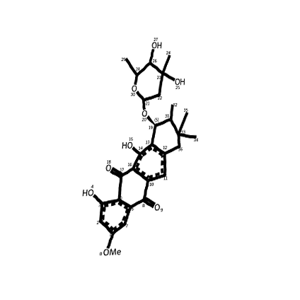 COc1cc(O)c2c(c1)C(=O)c1cc3c(c(O)c1C2=O)[C@@H](OC1CC(C)(O)C(O)C(C)O1)C(C)C(C)(C)C3